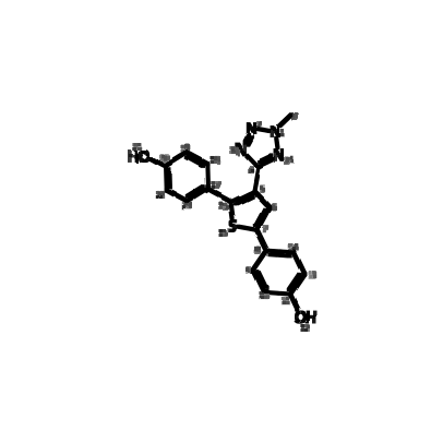 Cn1nnc(-c2cc(-c3ccc(O)cc3)sc2-c2ccc(O)cc2)n1